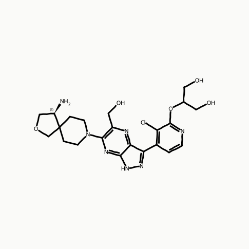 N[C@@H]1COCC12CCN(c1nc3[nH]nc(-c4ccnc(OC(CO)CO)c4Cl)c3nc1CO)CC2